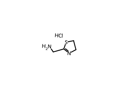 Cl.NCC1=NCCS1